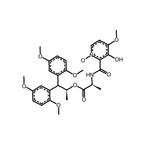 COc1ccc(OC)c(C(c2cc(OC)ccc2OC)[C@H](C)OC(=O)[C@H](C)NC(=O)c2c(O)c(OC)cc[n+]2[O-])c1